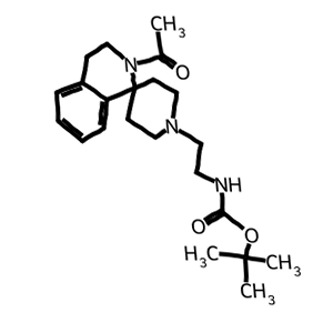 CC(=O)N1CCc2ccccc2C12CCN(CCNC(=O)OC(C)(C)C)CC2